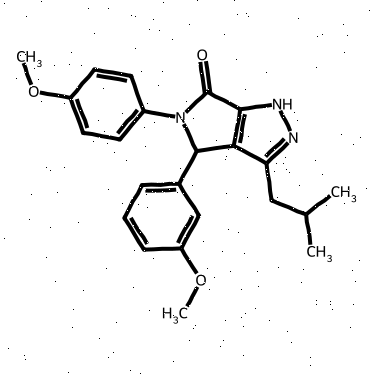 COc1ccc(N2C(=O)c3[nH]nc(CC(C)C)c3C2c2cccc(OC)c2)cc1